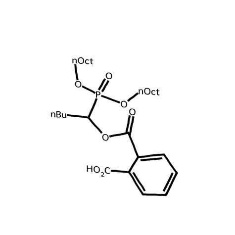 CCCCCCCCOP(=O)(OCCCCCCCC)C(CCCC)OC(=O)c1ccccc1C(=O)O